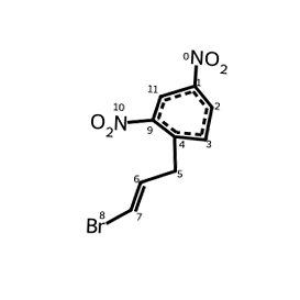 O=[N+]([O-])c1ccc(CC=CBr)c([N+](=O)[O-])c1